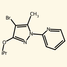 Cc1c(Br)c(OC(C)C)nn1-c1ccccn1